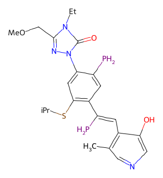 CCn1c(COC)nn(-c2cc(SC(C)C)c(/C(P)=C/c3c(C)cncc3O)cc2P)c1=O